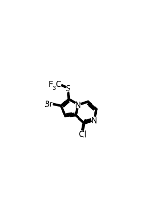 FC(F)(F)Sc1c(Br)cc2c(Cl)nccn12